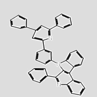 c1ccc(-c2cc(-c3ccccc3)nc(-c3cccc(-n4c5ccccc5c5c6ccccc6nc(-c6ccccc6)c54)c3)c2)cc1